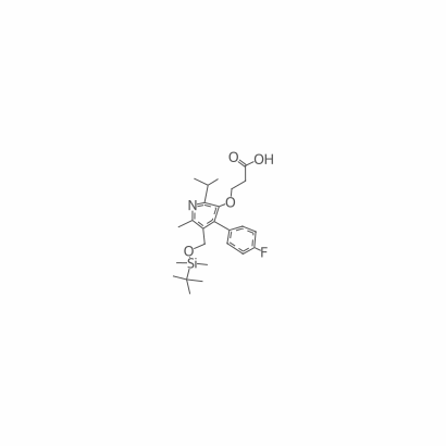 Cc1nc(C(C)C)c(OCCC(=O)O)c(-c2ccc(F)cc2)c1CO[Si](C)(C)C(C)(C)C